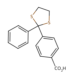 O=C(O)c1ccc(C2(c3ccccc3)SCCS2)cc1